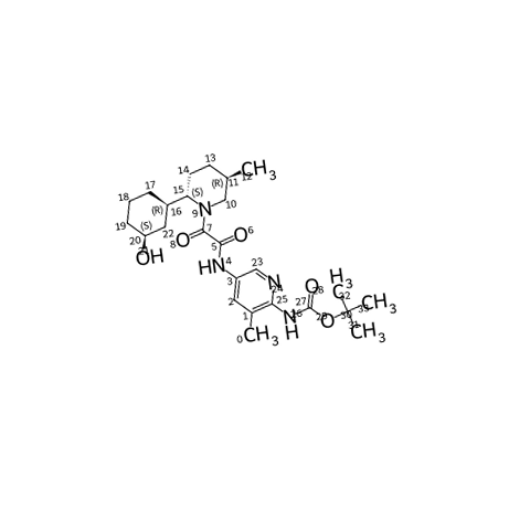 Cc1cc(NC(=O)C(=O)N2C[C@H](C)CC[C@H]2[C@@H]2CCC[C@H](O)C2)cnc1NC(=O)OC(C)(C)C